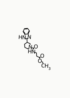 CCOC(=O)CCNC(=O)N1CCCC(c2nc3ccccc3[nH]2)C1